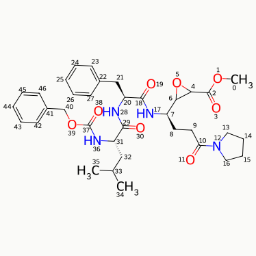 COC(=O)C1OC1[C@@H](CCC(=O)N1CCCC1)NC(=O)[C@H](Cc1ccccc1)NC(=O)[C@H](CC(C)C)NC(=O)OCc1ccccc1